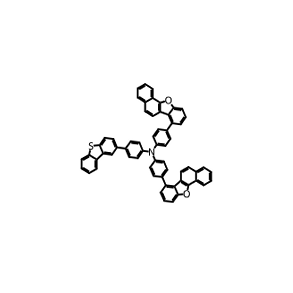 c1ccc2c(c1)ccc1c2oc2cccc(-c3ccc(N(c4ccc(-c5ccc6sc7ccccc7c6c5)cc4)c4ccc(-c5cccc6oc7c8ccccc8ccc7c56)cc4)cc3)c21